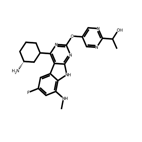 CNc1cc(F)cc2c1[nH]c1nc(Oc3cnc(C(C)O)nc3)nc(C3CCC[C@@H](N)C3)c12